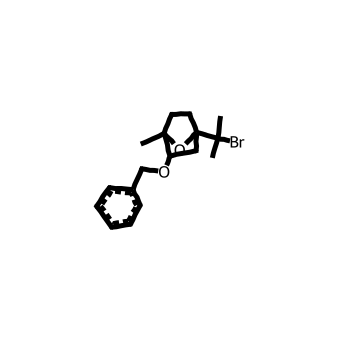 CC12CCC(C(C)(C)Br)(CC1OCc1ccccc1)O2